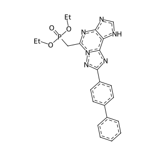 CCOP(=O)(Cc1nc2nc[nH]c2c2nc(-c3ccc(-c4ccccc4)cc3)nn12)OCC